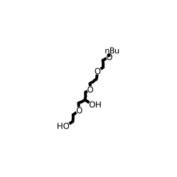 CCCCOCCOCCOCC(O)COCCO